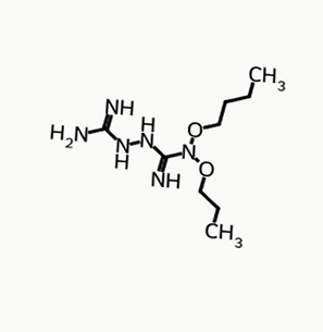 CCCCON(OCCC)C(=N)NNC(=N)N